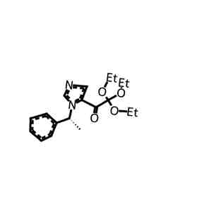 CCOC(OCC)(OCC)C(=O)c1cncn1[C@H](C)c1ccccc1